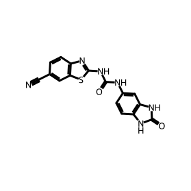 N#Cc1ccc2nc(NC(=O)Nc3ccc4[nH]c(=O)[nH]c4c3)sc2c1